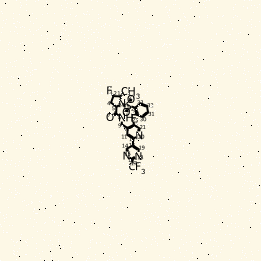 CC1C(F)CC(C(=O)NCc2cc(-c3cnc(C(F)(F)F)nc3)ncc2F)N1S(=O)(=O)c1ccccc1